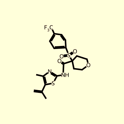 C=C(C)c1sc(NC(=O)C2(S(=O)(=O)c3ccc(C(F)(F)F)cc3)CCOCC2)nc1C